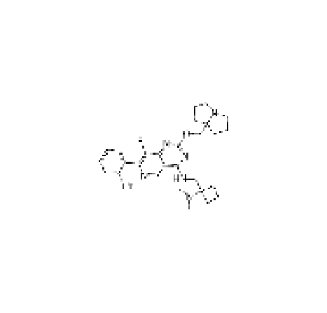 CC(C)c1ccccc1-c1ncc2c(NCC3(N(C)C)CCC3)nc(OCC34CCCN3CCC4)nc2c1F